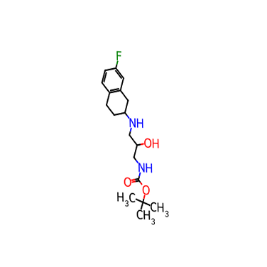 CC(C)(C)OC(=O)NCC(O)CNC1CCc2ccc(F)cc2C1